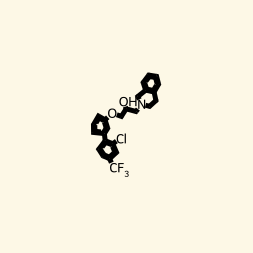 OC(COc1cccc(-c2ccc(C(F)(F)F)cc2Cl)c1)CN1CCc2ccccc2C1